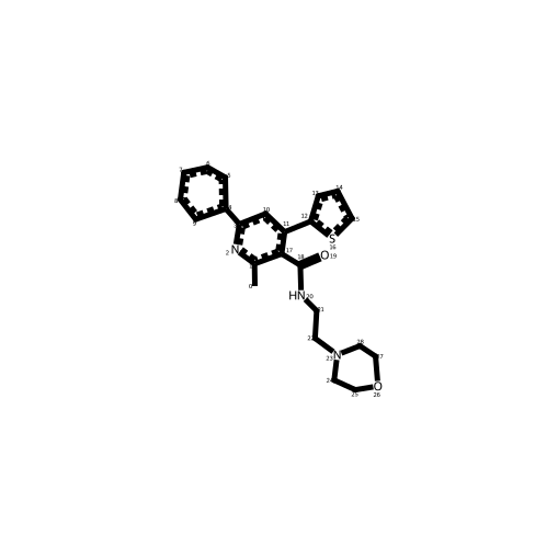 Cc1nc(-c2ccccc2)cc(-c2cccs2)c1C(=O)NCCN1CCOCC1